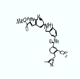 COC(=O)c1cc2cc(NCc3cc(NC(=O)c4ccc(Cn5cnc(C)c5)c(C(F)(F)F)c4)ccc3C)cnc2[nH]1